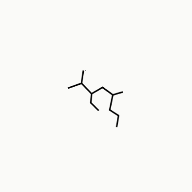 [CH2]C(C)C(CC)CC(C)CCC